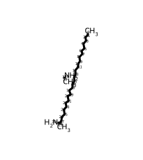 CCCCCCCCCCCCCCCCCCCCCCCCCCCCC(C)N.CCN